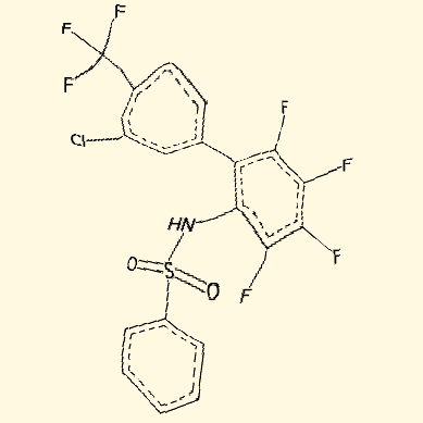 O=S(=O)(Nc1c(F)c(F)c(F)c(F)c1-c1ccc(C(F)(F)F)c(Cl)c1)c1ccccc1